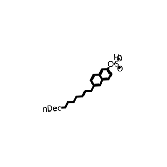 CCCCCCCCCCCCCCCCCc1ccc2cc(O[SH](=O)=O)ccc2c1